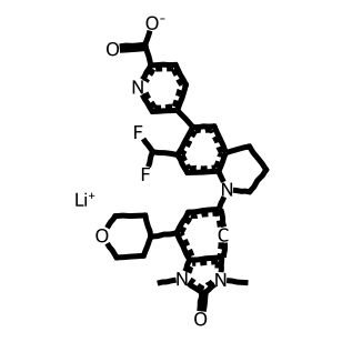 Cn1c(=O)n(C)c2c(C3CCOCC3)cc(N3CCCc4cc(-c5ccc(C(=O)[O-])nc5)c(C(F)F)cc43)cc21.[Li+]